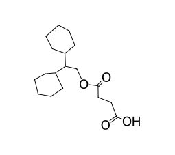 O=C(O)CCC(=O)OCC(C1CCCCC1)C1CCCCC1